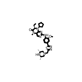 CC[C@@H]1C(=O)N(C)c2cnc(Nc3ccc(-c4nnc(CN5C[C@@H](C)N[C@@H](C)C5)s4)cc3OC)nc2N1C1CCCC1